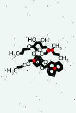 CCCCOCC1O[C@@H](O[C@@H]2C(COCCCC)O[C@@H](O)C(OC(Cc3ccccc3)(Cc3ccccc3)c3ccccc3)C2OCCCC)C(OCCCC)C(O)[C@H]1O